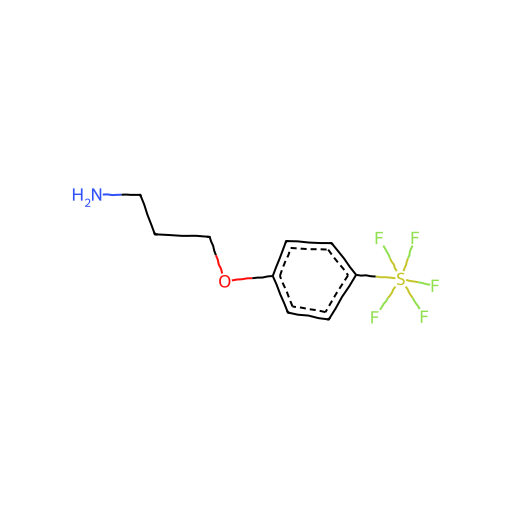 NCCCOc1ccc(S(F)(F)(F)(F)F)cc1